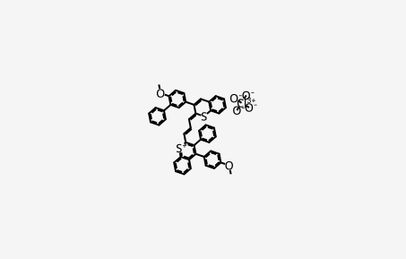 COc1ccc(-c2c(-c3ccccc3)c(C=CC=C3Sc4ccccc4C=C3c3ccc(OC)c(-c4ccccc4)c3)[s+]c3ccccc23)cc1.[O-][Cl+3]([O-])([O-])[O-]